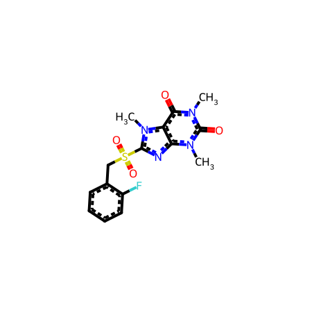 Cn1c(=O)c2c(nc(S(=O)(=O)Cc3ccccc3F)n2C)n(C)c1=O